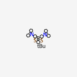 CC(C)(C)c1cc2c3c(c1)Sc1cc(-n4c5ccccc5c5ccccc54)ccc1B3c1ccc(-n3c4ccccc4c4ccccc43)cc1S2